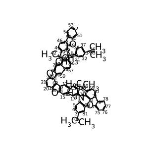 CC(C)c1ccc(N(c2ccc3cc4c(cc3c2)oc2ccc3oc5cc6cc(N(c7ccc(C(C)C)cc7)c7c(C(C)(C)C)ccc8c7oc7ccccc78)ccc6cc5c3c24)c2c(C(C)(C)C)ccc3c2oc2ccccc23)cc1